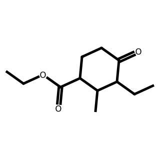 CCOC(=O)C1CCC(=O)C(CC)C1C